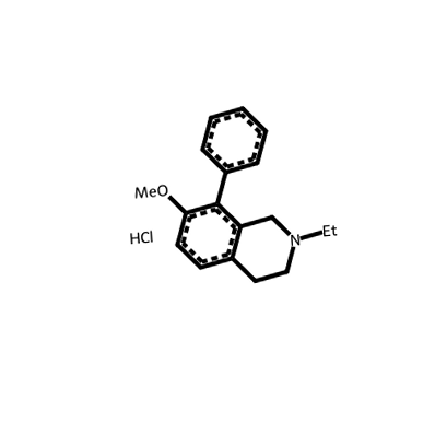 CCN1CCc2ccc(OC)c(-c3ccccc3)c2C1.Cl